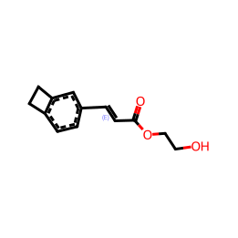 O=C(/C=C/c1ccc2c(c1)CC2)OCCO